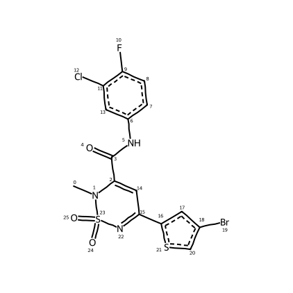 CN1C(C(=O)Nc2ccc(F)c(Cl)c2)=CC(c2cc(Br)cs2)=NS1(=O)=O